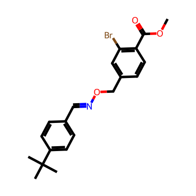 COC(=O)c1ccc(CON=Cc2ccc(C(C)(C)C)cc2)cc1Br